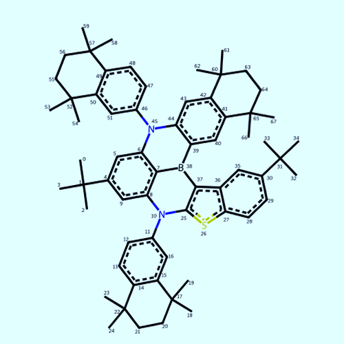 CC(C)(C)c1cc2c3c(c1)N(c1ccc4c(c1)C(C)(C)CCC4(C)C)c1sc4ccc(C(C)(C)C)cc4c1B3c1cc3c(cc1N2c1ccc2c(c1)C(C)(C)CCC2(C)C)C(C)(C)CCC3(C)C